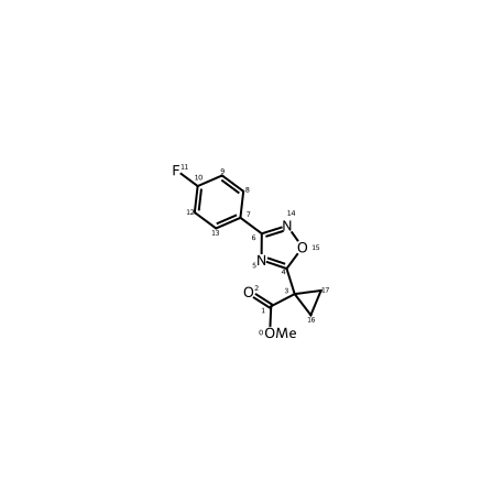 COC(=O)C1(c2nc(-c3ccc(F)cc3)no2)CC1